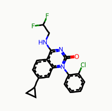 O=c1nc(NCC(F)F)c2ccc(C3CC3)cc2n1-c1ccccc1Cl